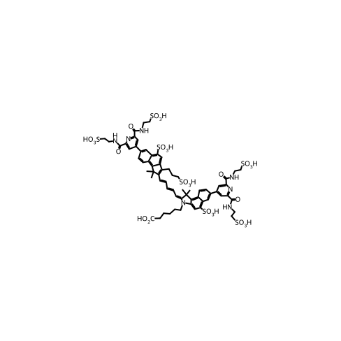 CC1(C)C(/C=C/C=C/C=C2/N(CCCCCC(=O)O)c3cc(S(=O)(=O)O)c4cc(-c5cc(C(=O)NCCS(=O)(=O)O)nc(C(=O)NCCS(=O)(=O)O)c5)ccc4c3C2(C)C)=C(CCCS(=O)(=O)O)c2cc(S(=O)(=O)O)c3cc(-c4cc(C(=O)NCCS(=O)(=O)O)nc(C(=O)NCCS(=O)(=O)O)c4)ccc3c21